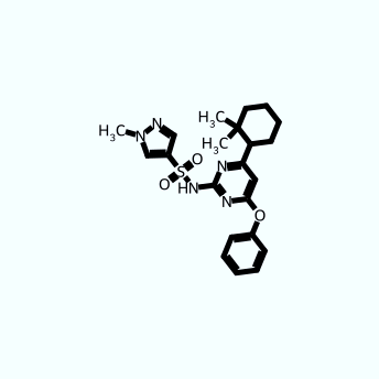 Cn1cc(S(=O)(=O)Nc2nc(Oc3ccccc3)cc(C3CCCCC3(C)C)n2)cn1